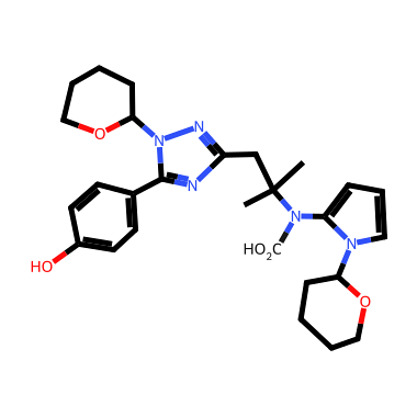 CC(C)(Cc1nc(-c2ccc(O)cc2)n(C2CCCCO2)n1)N(C(=O)O)c1cccn1C1CCCCO1